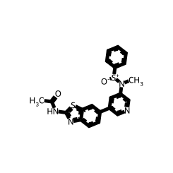 CC(=O)Nc1nc2ccc(-c3cncc(N(C)[S+]([O-])c4ccccc4)c3)cc2s1